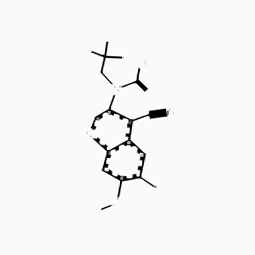 COc1cc2ncc(N(CC(F)(F)F)C(=O)O)c(C#N)c2cc1F